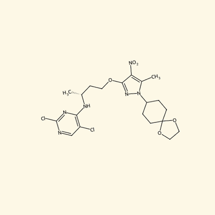 Cc1c([N+](=O)[O-])c(OCC[C@@H](C)Nc2nc(Cl)ncc2Cl)nn1C1CCC2(CC1)OCCO2